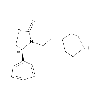 O=C1OC[C@H](c2ccccc2)N1CCC1CCNCC1